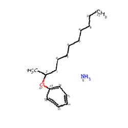 N.[CH2]C(CCCCCCCCC)Oc1ccccc1